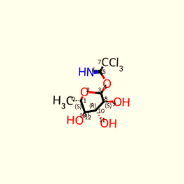 C[C@@H]1OC(OC(=N)C(Cl)(Cl)Cl)[C@@H](O)[C@H](O)[C@@H]1O